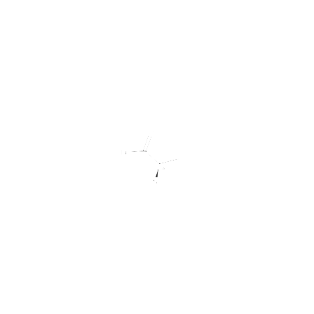 C[C@@H](N=O)C(=O)Br